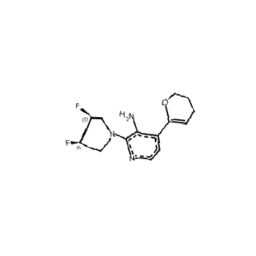 Nc1c(C2=CCCCO2)ccnc1N1C[C@@H](F)[C@@H](F)C1